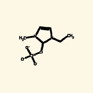 CCN1C=CN(C)C1O[Cl+3]([O-])([O-])[O-]